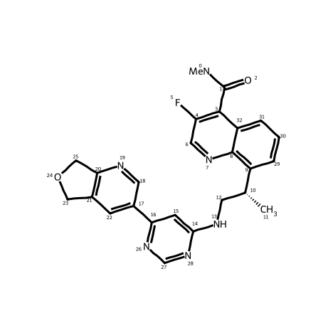 CNC(=O)c1c(F)cnc2c([C@H](C)CNc3cc(-c4cnc5c(c4)COC5)ncn3)cccc12